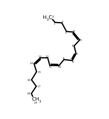 CCCC/C=C\C/C=C\C/C=C\C/C=C\CCCCC